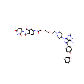 CN1C(=O)CCC(N2C(=O)c3ccc(NC(=O)COCCOCCN4CCC(n5nc(-c6ccc(Oc7ccccc7)cc6)c6c(N)ncnc65)CC4)cc3C2=O)C1=O